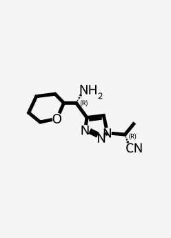 C[C@H](C#N)n1cc([C@@H](N)C2CCCCO2)nn1